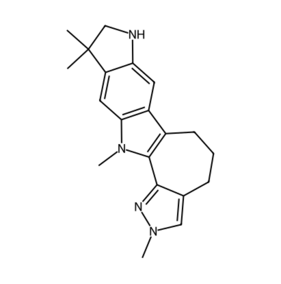 Cn1cc2c(n1)-c1c(c3cc4c(cc3n1C)C(C)(C)CN4)CCC2